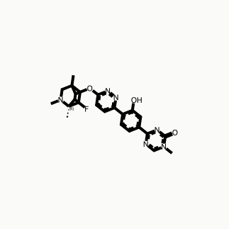 CN1CC2(C)CC[C@]1(C)C(F)C2Oc1ccc(-c2ccc(-c3ncn(C)c(=O)n3)cc2O)nn1